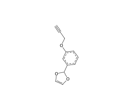 C#CCOc1cccc(C2OC=CO2)c1